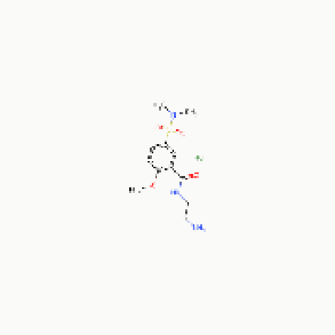 COc1ccc(S(=O)(=O)N(C)C)cc1C(=O)NCCN.Cl